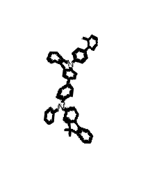 CC1C=CC=CC1c1ccc(-n2c3ccccc3c3cc(-c4ccc(N(C5=CCC6C(=C5)C(C)(C)c5ccccc56)c5ccccc5)cc4)ccc32)cc1